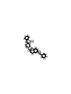 OC1(Cc2ccccc2)CCN(CC2CCc3cc(OCc4ccccc4)ccc3O2)CC1